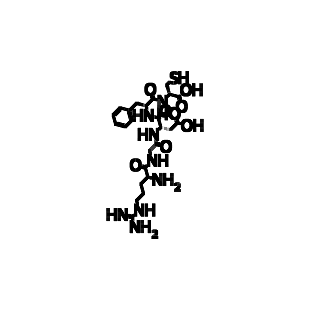 N=C(N)NCCC[C@H](N)C(=O)NCC(=O)N[C@@H](CC(=O)O)C(=O)N[C@@H](Cc1ccccc1)C(=O)N[C@@H](CS)C(=O)O